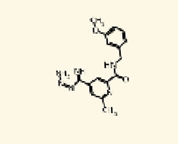 COc1cccc(CNC(=O)c2cc(C(=N)/N=N\N)cc(C)n2)c1